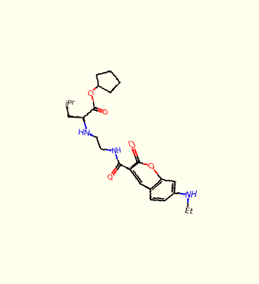 CCNc1ccc2cc(C(=O)NCCN[C@@H](CC(C)C)C(=O)OC3CCCC3)c(=O)oc2c1